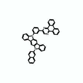 c1cc(-c2cnc3c4ccccc4c4ccccc4c3n2)cc(-n2c3ccccc3c3cc4c(cc32)c2ccccc2n4-c2ccc3ccccc3c2)c1